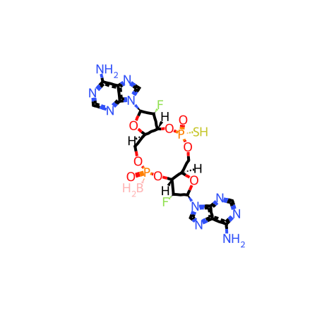 B[P@]1(=O)OC[C@H]2O[C@@H](n3cnc4c(N)ncnc43)[C@H](F)[C@@H]2O[P@](=O)(S)OC[C@H]2O[C@@H](n3cnc4c(N)ncnc43)[C@H](F)[C@@H]2O1